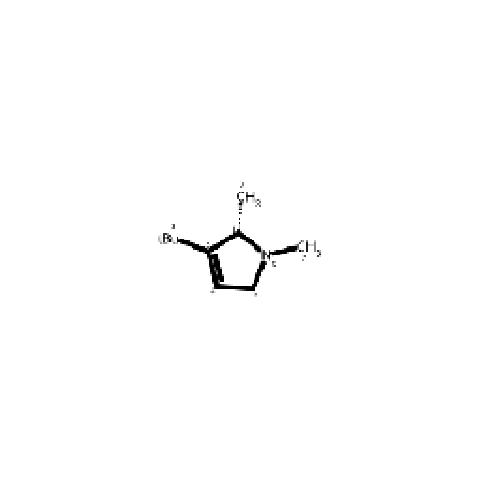 C[C@H]1C(C(C)(C)C)=CCN1C